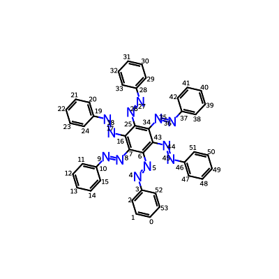 c1ccc(N=Nc2c(N=Nc3ccccc3)c(N=Nc3ccccc3)c(N=Nc3ccccc3)c(N=Nc3ccccc3)c2N=Nc2ccccc2)cc1